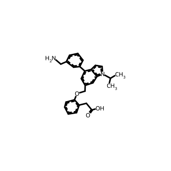 CC(C)n1ccc2c(-c3cccc(CN)c3)cc(COc3ccccc3CC(=O)O)cc21